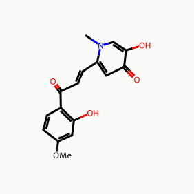 COc1ccc(C(=O)/C=C/c2cc(=O)c(O)cn2C)c(O)c1